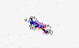 COC(=O)N[C@@H](CC/C=C/C(=O)N(C)C)C(=O)Nc1cc(C)c(C)n(Cc2nc3c(F)cnc(CC(C)C)c3[nH]2)c1=O